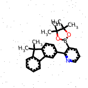 CC1(C)c2ccccc2-c2cc(-c3ncccc3B3OC(C)(C)C(C)(C)O3)ccc21